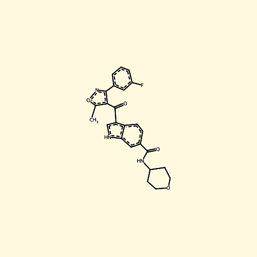 Cc1onc(-c2cccc(F)c2)c1C(=O)c1c[nH]c2cc(C(=O)NC3CCOCC3)ccc12